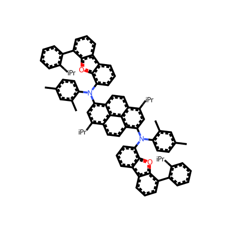 Cc1ccc(N(c2cc(C(C)C)c3ccc4c(N(c5ccc(C)cc5C)c5cccc6c5oc5c(-c7ccccc7C(C)C)cccc56)cc(C(C)C)c5ccc2c3c54)c2cccc3c2oc2c(-c4ccccc4C(C)C)cccc23)c(C)c1